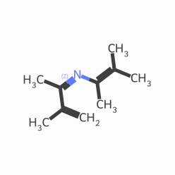 C=C(C)/C(C)=N\C(C)=C(C)C